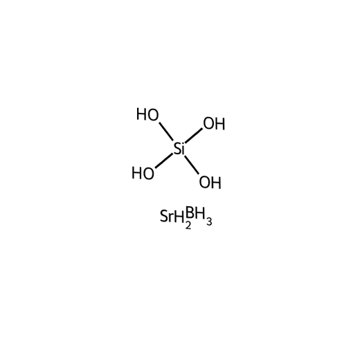 B.O[Si](O)(O)O.[SrH2]